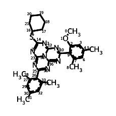 COc1cc(C)cc(C)c1C1=NC2=NC(SC3CCCCC3)=NC3=NC(c4c(C)cc(C)cc4C)=NC(=N1)N23